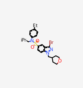 CCc1ccc(N(CC(C)C)S(=O)(=O)c2ccc3c(c2)c(Br)nn3CC2CCOCC2)cc1